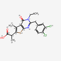 CCn1c(Cc2ccc(Cl)c(Cl)c2)nc2sc(C(C)C(=O)O)c(C)c2c1=O